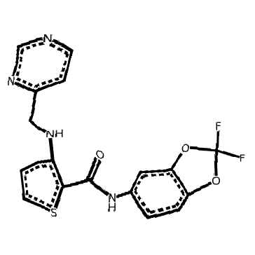 O=C(Nc1ccc2c(c1)OC(F)(F)O2)c1sccc1NCc1ccncn1